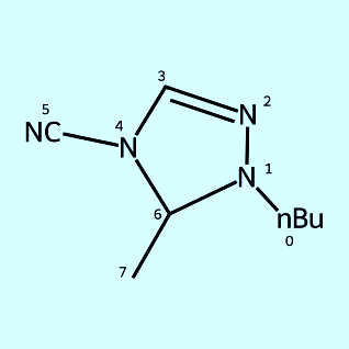 CCCCN1N=CN(C#N)C1C